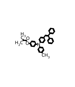 C=C(C)C(=O)Oc1ccc(N(c2ccc(C)cc2)c2ccc(C=C(c3ccccc3)c3ccccc3)cc2)cc1